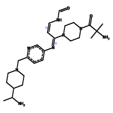 CC(N)C1CCN(Cc2ccc(/N=C(\C=C/NC=O)N3CCN(C(=O)C(C)(C)N)CC3)cn2)CC1